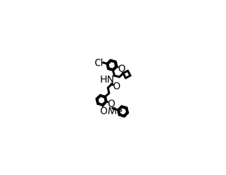 COc1cccc(CCC(=O)NC2CC3(CCC3)Oc3ccc(Cl)cc32)c1OCc1ccccc1